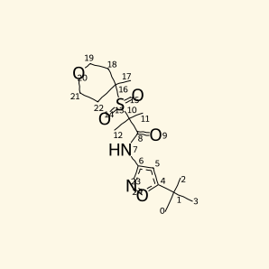 CC(C)(C)c1cc(NC(=O)C(C)(C)S(=O)(=O)C2(C)CCOCC2)no1